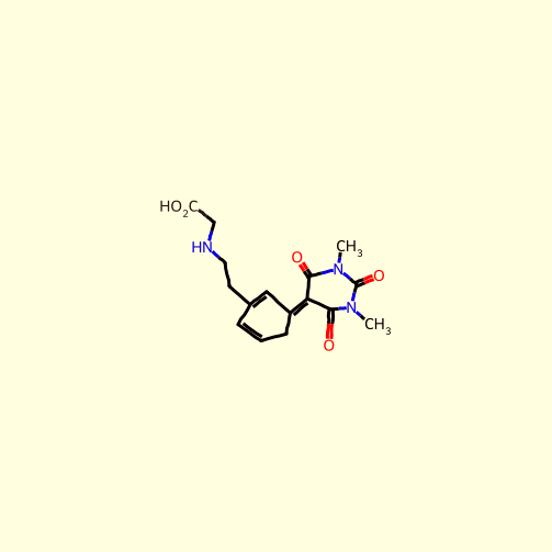 CN1C(=O)C(=C2C=C(CCNCC(=O)O)C=CC2)C(=O)N(C)C1=O